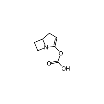 O=C(O)OC1=CCC2CCN12